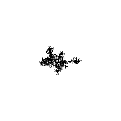 C=C(C)OC(=O)NCCCNCC1=CC[C@@H](NC(=O)OC(C)(C)C)[C@@H](C2[C@@H](NC(=O)OC(C)(C)C)C[C@@H](NC(=O)C3(O)CN(C(=O)OC(C)(C)C)C3)[C@H](O[C@H]3OC[C@](C)(O)[C@H](N(C)C(=O)OC(C)(C)C)[C@H]3O)[C@H]2O)O1